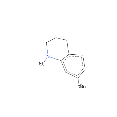 CCN1CCCc2ccc(C(C)(C)C)cc21